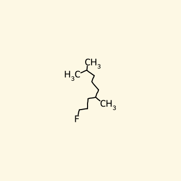 CC(C)CCCC(C)CCCF